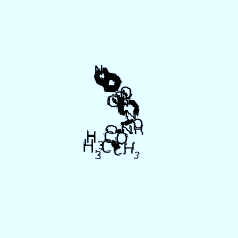 CC(C)(C)OC(=O)NCC(=O)N1CCCN(S(=O)(=O)c2ccc3cnccc3c2)CC1